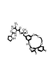 CC(C)[C@H](NC(=O)[C@@H]1CCCN1)C(=O)N=[S@](C)(=O)Cc1cc2cc(c1)OCCCCOc1cc(F)ccc1-c1nc(ncc1F)N2